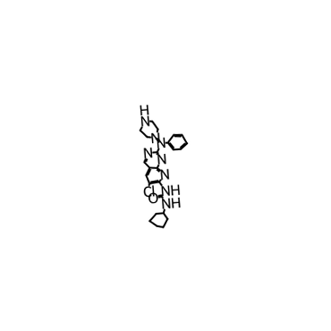 O=C(Nc1nc2nc(N(c3ccccc3)N3CCNCC3)ncc2cc1Cl)NC1CCCCC1